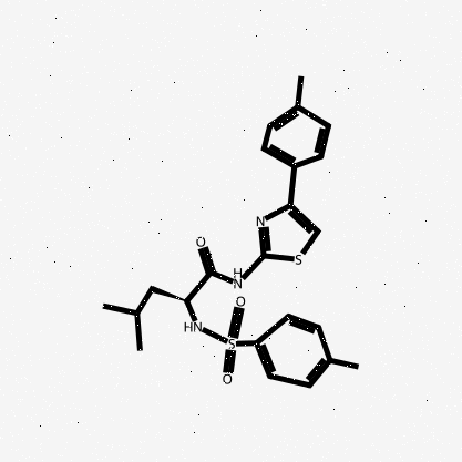 Cc1ccc(-c2csc(NC(=O)[C@H](CC(C)C)NS(=O)(=O)c3ccc(C)cc3)n2)cc1